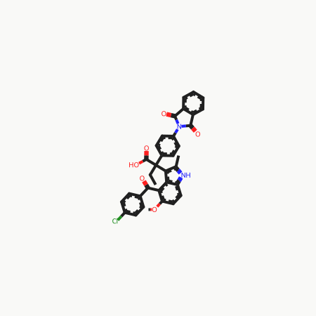 CCC(C(=O)O)(c1ccc(N2C(=O)c3ccccc3C2=O)cc1)c1c(C)[nH]c2ccc(OC)c(C(=O)c3ccc(Cl)cc3)c12